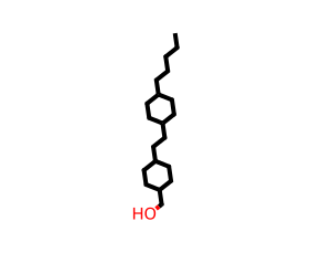 CCCCCC1CCC(CCC2CCC(CO)CC2)CC1